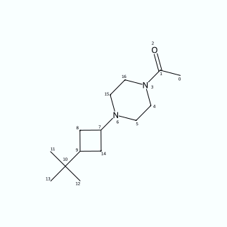 CC(=O)N1CCN(C2CC(C(C)(C)C)C2)CC1